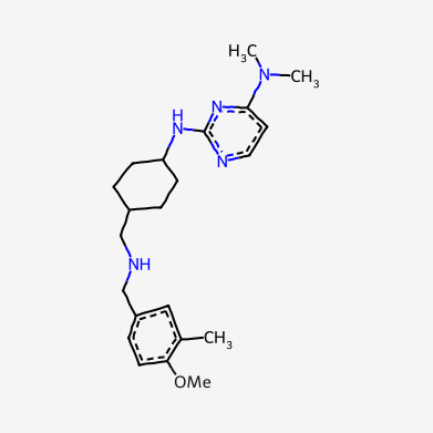 COc1ccc(CNCC2CCC(Nc3nccc(N(C)C)n3)CC2)cc1C